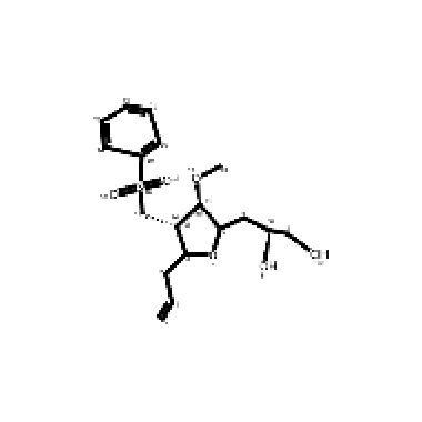 C=CCC1OC(C[C@H](O)CO)[C@H](OC)[C@H]1CS(=O)(=O)c1ccccc1